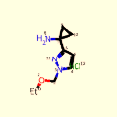 CCOCn1ccc(C2(N)CC2)n1.Cl